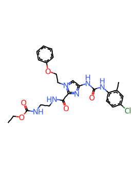 CCOC(=O)NCCNC(=O)c1nc(NC(=O)Nc2ccc(Cl)cc2C)cn1CCOc1ccccc1